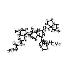 COCC12CCC(CN(c3nc(OC[C@@]45CCCN4C[C@H](F)C5)nc4c(F)c(-c5ccc(F)c6sc(NC(=O)OC(C)(C)C)nc56)ncc34)C1)N2C(=O)O